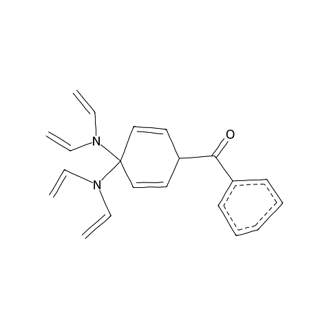 C=CN(C=C)C1(N(C=C)C=C)C=CC(C(=O)c2ccccc2)C=C1